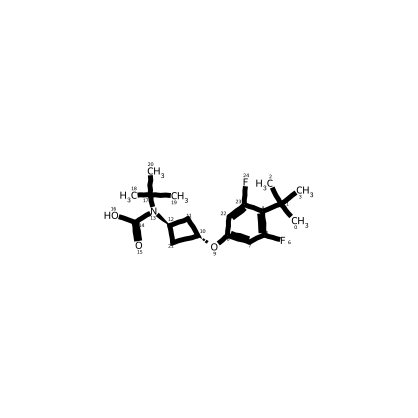 CC(C)(C)c1c(F)cc(O[C@H]2C[C@H](N(C(=O)O)C(C)(C)C)C2)cc1F